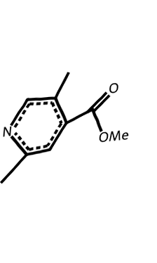 COC(=O)c1cc(C)ncc1C